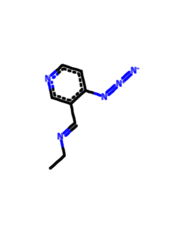 CC/N=C/c1cnccc1N=[N+]=[N-]